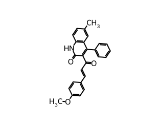 COc1ccc(C=CC(=O)c2c(-c3ccccc3)c3cc(C)ccc3[nH]c2=O)cc1